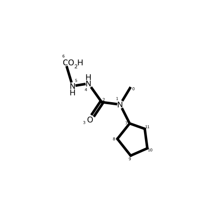 CN(C(=O)NNC(=O)O)C1CCCC1